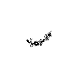 C#CCNC(=O)c1ccc(S(=O)(=O)C/C(F)=C/CNC(=O)OC(C)(C)C)cc1